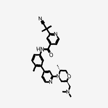 Cc1ccc(NC(=O)c2ccnc(C(C)(C)C#N)c2)cc1-c1ccnc(N2C[C@H](CN(C)C)OC[C@H]2C)c1